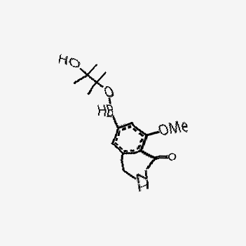 COc1cc(BOC(C)(C)C(C)(C)O)cc2c1C(=O)NC2